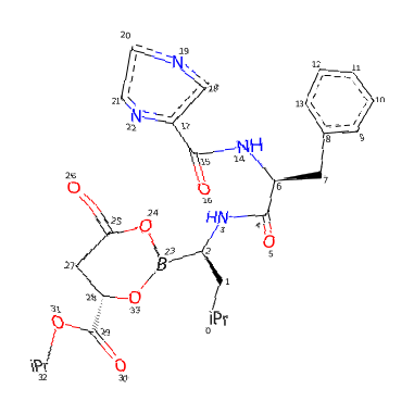 CC(C)C[C@H](NC(=O)[C@H](Cc1ccccc1)NC(=O)c1cnccn1)B1OC(=O)C[C@@H](C(=O)OC(C)C)O1